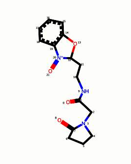 O=C(CN1CCCC1=O)NCCC1Oc2ccccc2[N+]1=O